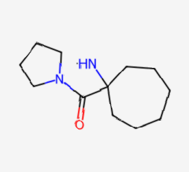 [NH]C1(C(=O)N2CCCC2)CCCCCC1